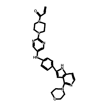 C=CC(=O)N1CCN(c2ncc(Nc3ccc(-c4cc5c(N6CCOCC6)nccc5[nH]4)cc3)cn2)CC1